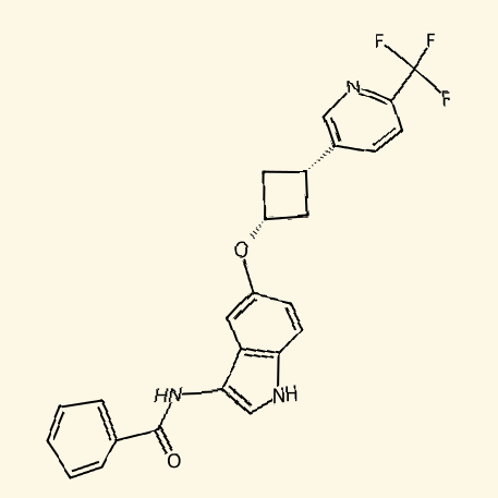 O=C(Nc1c[nH]c2ccc(O[C@H]3C[C@@H](c4ccc(C(F)(F)F)nc4)C3)cc12)c1ccccc1